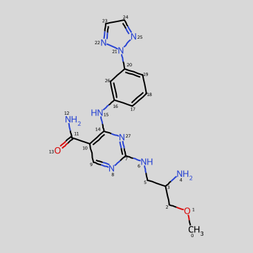 COCC(N)CNc1ncc(C(N)=O)c(Nc2cccc(-n3nccn3)c2)n1